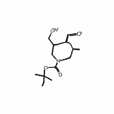 CC1CN(C(=O)OC(C)(C)C)CC(CO)C1C=O